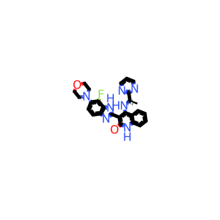 C[C@@H](Nc1c(-c2nc3ccc(N4CCOCC4)c(F)c3[nH]2)c(=O)[nH]c2ccccc12)c1ncccn1